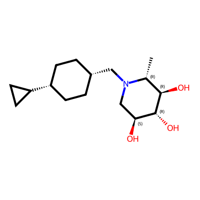 C[C@@H]1[C@@H](O)[C@H](O)[C@@H](O)CN1C[C@H]1CC[C@@H](C2CC2)CC1